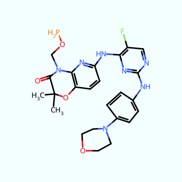 CC1(C)Oc2ccc(Nc3nc(Nc4ccc(N5CCOCC5)cc4)ncc3F)nc2N(COP)C1=O